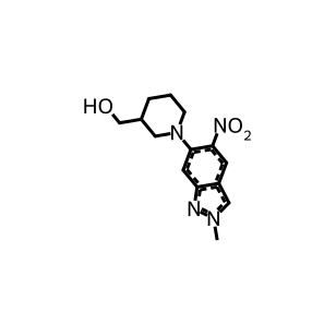 Cn1cc2cc([N+](=O)[O-])c(N3CCCC(CO)C3)cc2n1